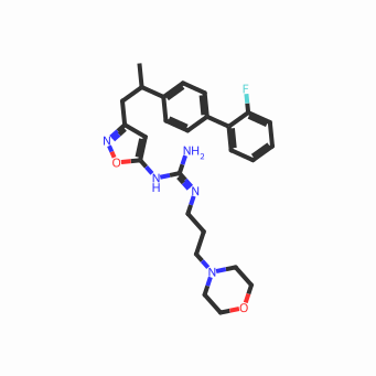 CC(Cc1cc(NC(N)=NCCCN2CCOCC2)on1)c1ccc(-c2ccccc2F)cc1